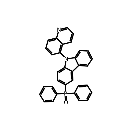 O=P(c1ccccc1)(c1ccccc1)c1ccc2c(c1)c1ccccc1n2-c1cccc2ncccc12